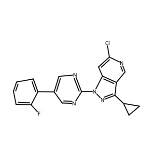 Fc1ccccc1-c1cnc(-n2nc(C3CC3)c3cnc(Cl)cc32)nc1